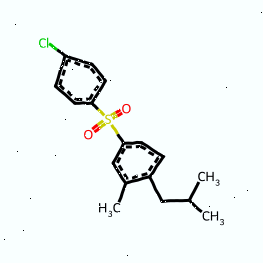 Cc1cc(S(=O)(=O)c2ccc(Cl)cc2)ccc1CC(C)C